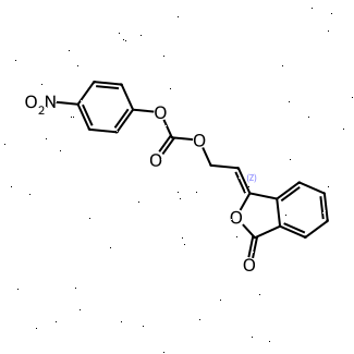 O=C(OC/C=C1\OC(=O)c2ccccc21)Oc1ccc([N+](=O)[O-])cc1